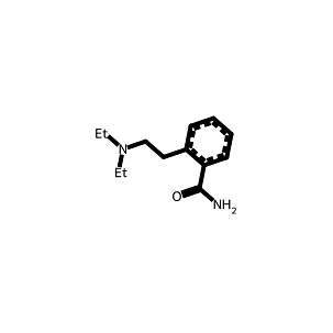 CCN(CC)CCc1ccccc1C(N)=O